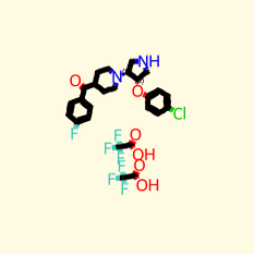 O=C(O)C(F)(F)F.O=C(O)C(F)(F)F.O=C(c1ccc(F)cc1)C1CCN([C@H]2CNC[C@@H]2Oc2ccc(Cl)cc2)CC1